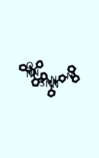 c1ccc(-c2nc(-c3ccc(-n4c5ccccc5c5ccccc54)cc3)nc(-c3cccc4c3sc3cccc(-c5nc(-c6ccccc6)c6oc7ccccc7c6n5)c34)n2)cc1